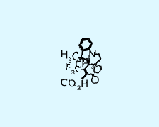 CC1(C)C2=C3C(C(F)(F)F)=C(CC(=O)O)C(=O)OC3CCN2c2ccccc21